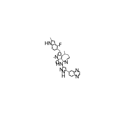 Cc1cc2c(F)c(CO/C3=C(C(=O)N(C)C)/C(Nc4cc(-c5ccc6nccnc6c5)[nH]n4)=N\C=C\CC3C)ccc2[nH]1